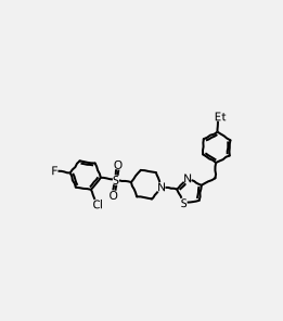 CCc1ccc(Cc2csc(N3CCC(S(=O)(=O)c4ccc(F)cc4Cl)CC3)n2)cc1